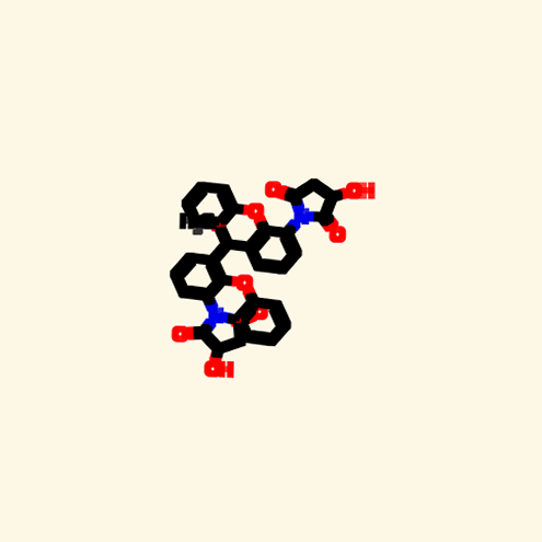 CCC(c1cccc(N2C(=O)CC(O)C2=O)c1Oc1ccccc1)c1cccc(N2C(=O)CC(O)C2=O)c1Oc1ccccc1